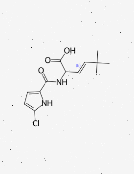 CC(C)(C)/C=C/C(NC(=O)c1ccc(Cl)[nH]1)C(=O)O